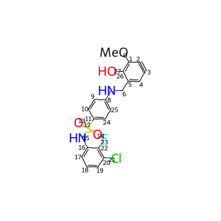 COc1c#ccc(CNc2ccc(S(=O)(=O)Nc3cccc(Cl)c3F)cc2)c1O